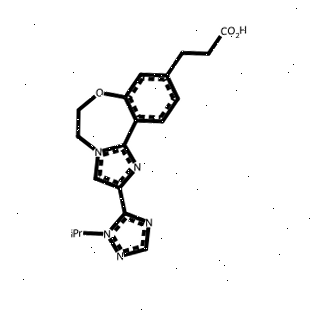 CC(C)n1ncnc1-c1cn2c(n1)-c1ccc(CCC(=O)O)cc1OCC2